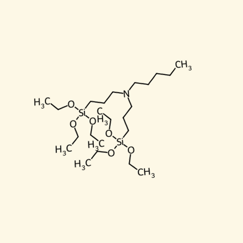 CCCCCN(CCC[Si](OCC)(OCC)OCC)CCC[Si](OCC)(OCC)OCC